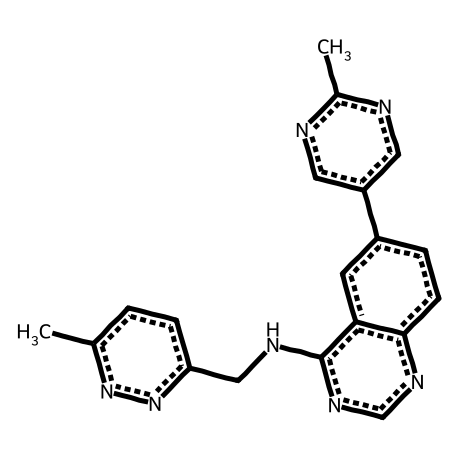 Cc1ccc(CNc2ncnc3ccc(-c4cnc(C)nc4)cc23)nn1